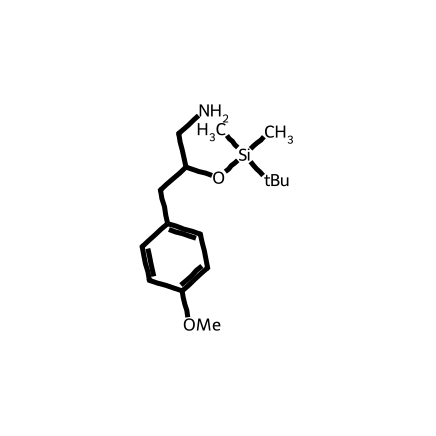 COc1ccc(CC(CN)O[Si](C)(C)C(C)(C)C)cc1